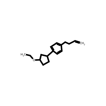 C=CCCc1ccc(C2CCC(OCC)C2)cc1